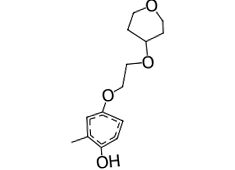 Cc1cc(OCCOC2CCOCC2)ccc1O